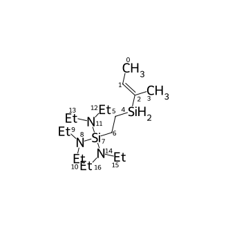 CC=C(C)[SiH2]CC[Si](N(CC)CC)(N(CC)CC)N(CC)CC